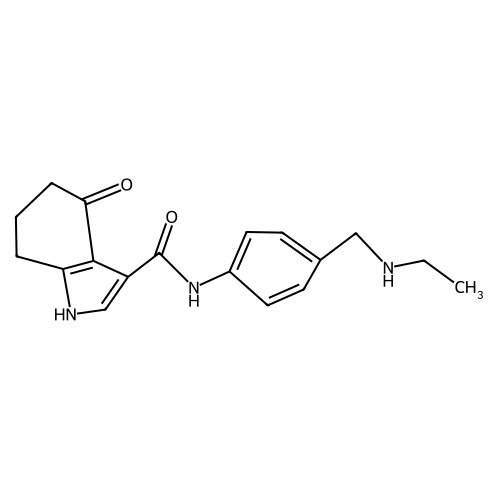 CCNCc1ccc(NC(=O)c2c[nH]c3c2C(=O)CCC3)cc1